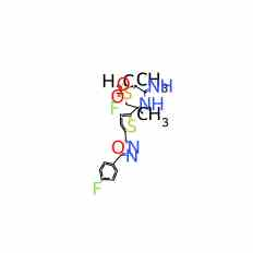 CC1(C)C(=N)N[C@](C)(c2sc(-c3nnc(-c4ccc(F)cc4)o3)cc2F)CS1(=O)=O